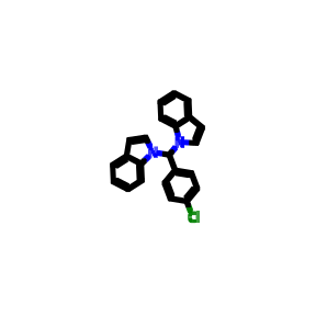 Clc1ccc(C(n2ccc3ccccc32)n2ccc3ccccc32)cc1